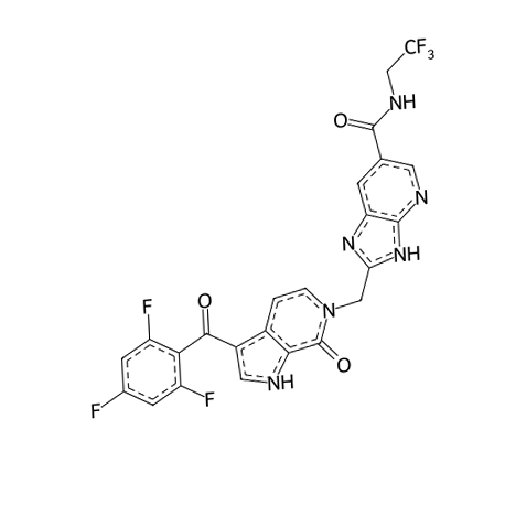 O=C(NCC(F)(F)F)c1cnc2[nH]c(Cn3ccc4c(C(=O)c5c(F)cc(F)cc5F)c[nH]c4c3=O)nc2c1